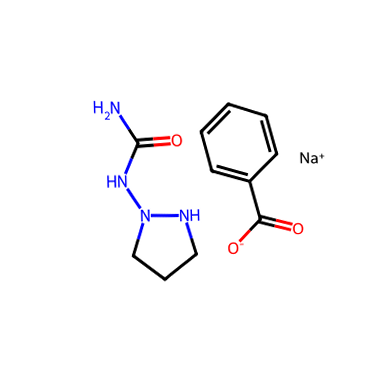 NC(=O)NN1CCCN1.O=C([O-])c1ccccc1.[Na+]